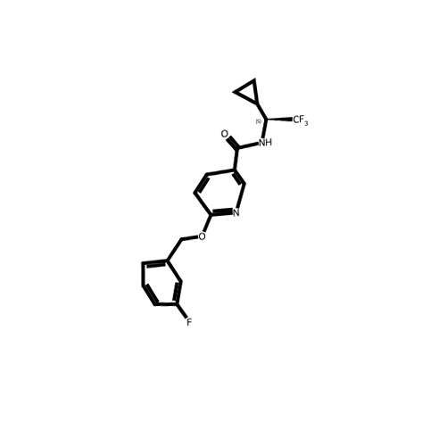 O=C(N[C@@H](C1CC1)C(F)(F)F)c1ccc(OCc2cccc(F)c2)nc1